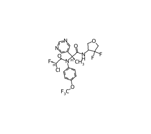 C[C@](C(=O)NC1COCC1(F)F)(c1cncnc1)N(C(=O)[C@H](F)Cl)c1ccc(OC(F)(F)F)cc1